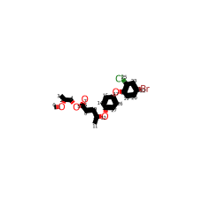 COC(C)COC(=O)C=CC(C)Oc1ccc(Oc2ccc(Br)cc2Cl)cc1